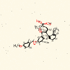 COc1ccc(COc2cccc(C(=O)C(CC(C)C(=O)O)c3ccccc3C)c2)cc1